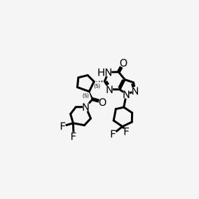 O=C([C@H]1CCC[C@@H]1c1nc2c(cnn2C2CCC(F)(F)CC2)c(=O)[nH]1)N1CCC(F)(F)CC1